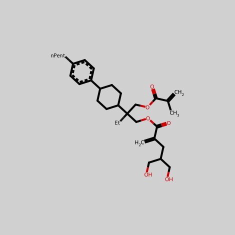 C=C(C)C(=O)OCC(CC)(COC(=O)C(=C)CC(CO)CO)C1CCC(c2ccc(CCCCC)cc2)CC1